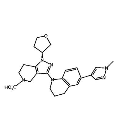 Cn1cc(-c2ccc3c(c2)CCCN3c2nn([C@H]3CCOC3)c3c2CN(C(=O)O)CC3)cn1